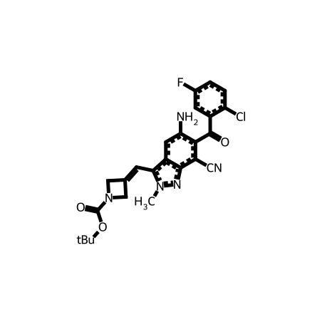 Cn1nc2c(C#N)c(C(=O)c3cc(F)ccc3Cl)c(N)cc2c1C=C1CN(C(=O)OC(C)(C)C)C1